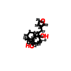 C[C@@H]1C[C@@H](O)[C@@H]2[C@](C)(CCC[C@]2(C)C(=O)O)[C@@]1(O)CCc1ccoc1